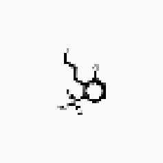 [O]CCCc1c(Cl)cccc1S(=O)(=O)O